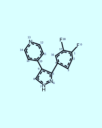 Fc1ccc(-c2n[nH]cc2-c2ccncc2)cc1F